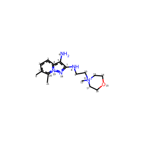 Cc1ccc2c(N)c(NCC[N+]3(C)CCOCC3)nn2c1C